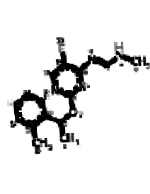 CN/C=N/c1nc(OC(C)c2ccccc2C)ncc1F